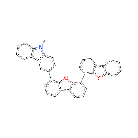 Cn1c2ccccc2c2cc(-c3cccc4c3oc3c(-c5cccc6c5oc5ccccc56)cccc34)ccc21